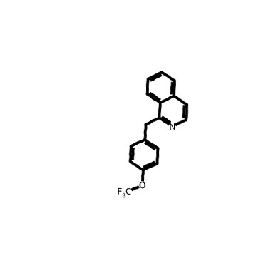 FC(F)(F)Oc1ccc(Cc2nccc3ccccc23)cc1